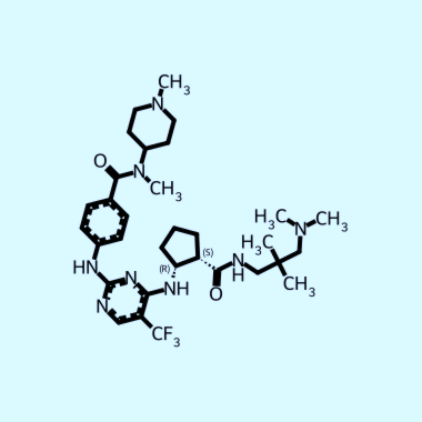 CN(C)CC(C)(C)CNC(=O)[C@H]1CCC[C@H]1Nc1nc(Nc2ccc(C(=O)N(C)C3CCN(C)CC3)cc2)ncc1C(F)(F)F